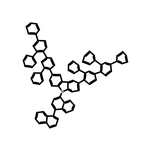 c1ccc(-c2ccc(-c3ccc(-c4ccc5c(c4)c4cc(-c6ccc(-c7ccc(-c8ccccc8)cc7-c7ccccc7)cc6-c6ccccc6)ccc4n5-c4ccc(-c5cccc6ccccc56)c5ccccc45)c(-c4ccccc4)c3)c(-c3ccccc3)c2)cc1